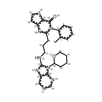 Cc1ccccc1-n1c(CCCNc2nc3cncnc3n2C2CCCCO2)nc2ccsc2c1=O